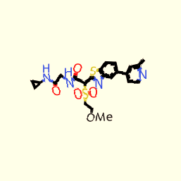 COCCS(=O)(=O)C(C(=O)NCC(=O)NC1CC1)c1nc2cc(-c3ccnc(C)c3)ccc2s1